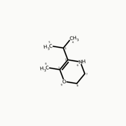 CC1=C(C(C)C)NCCO1